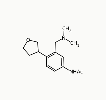 CC(=O)Nc1ccc(C2CCOC2)c(CN(C)C)c1